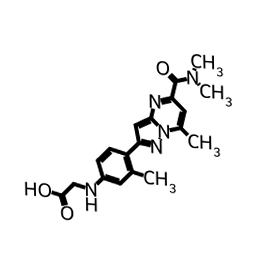 Cc1cc(NCC(=O)O)ccc1-c1cc2nc(C(=O)N(C)C)cc(C)n2n1